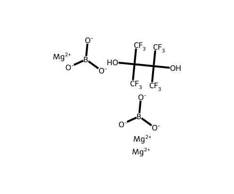 OC(C(F)(F)F)(C(F)(F)F)C(O)(C(F)(F)F)C(F)(F)F.[Mg+2].[Mg+2].[Mg+2].[O-]B([O-])[O-].[O-]B([O-])[O-]